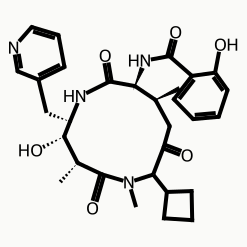 C[C@H]1CC(=O)C(C2CCC2)N(C)C(=O)[C@H](C)[C@H](O)[C@H](Cc2cccnc2)NC(=O)[C@H]1NC(=O)c1ccccc1O